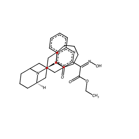 CCOC(=O)C(=NO)c1nc2ccccc2n([C@@H]2CC3CCC[C@H](C2)N3C2CC3CCCCC(C3)C2)c1=O